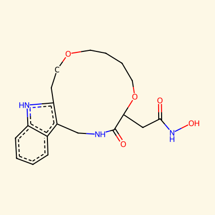 O=C(CC1OCCCCOCCc2[nH]c3ccccc3c2CNC1=O)NO